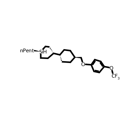 CCCCC[Si@H]1CC[C@H]([C@H]2CC[C@H](COc3ccc(OC(F)(F)F)cc3)CC2)CC1